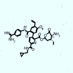 C=Cc1cc(C(=O)Nc2ccc(C(=N)N)cc2)c(-c2ccc(C(=O)NCC3CC3)nc2C(=O)OC2C[C@@H](CC)[C@H](N)C(=O)O2)cc1OC